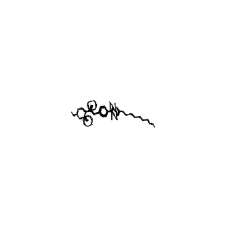 CCCCCCCCCCc1cnc(-c2ccc(CC(=O)C3CCC(CC)CC3=O)cc2)nc1